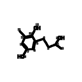 C[C](O)CCc1cc(O)cc(C)c1O